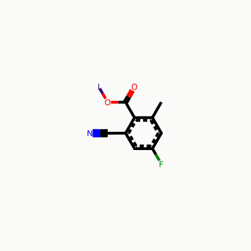 Cc1cc(F)cc(C#N)c1C(=O)OI